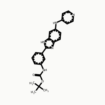 CC(C)(C)OC(=O)Nc1cccc(-c2nc3ccc(Nc4ccncc4)cc3[nH]2)c1